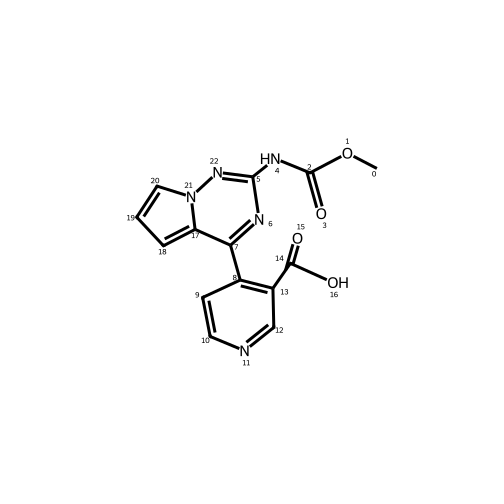 COC(=O)Nc1nc(-c2ccncc2C(=O)O)c2cccn2n1